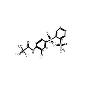 C[C@@](O)(C(=O)Nc1ccc(S(=O)(=O)c2ccccc2S(C)(=O)=O)cc1Cl)C(F)(F)F